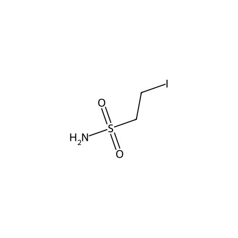 NS(=O)(=O)CCI